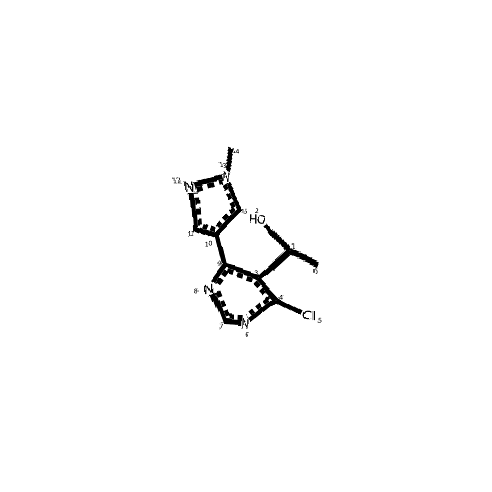 CC(O)c1c(Cl)ncnc1-c1cnn(C)c1